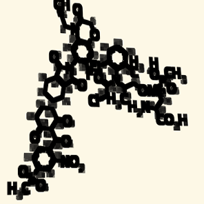 C#CCN1C(=O)COc2cc(F)c(N3C(=O)C4=C(CCCC4)C3=O)cc21.CCc1cccc(C)c1N(C(=O)CCl)C(C)COC.CP(=O)(O)CCC(N)C(=O)O.CS(=O)(=O)c1ccc(C(=O)C2C(=O)CCCC2=O)c([N+](=O)[O-])c1